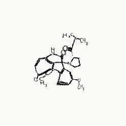 COc1ccc(OC)c(C2(N3CCC[C@H]3C(=O)N(C)C)C(=O)Nc3ccc(Cl)cc32)c1